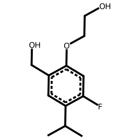 CC(C)c1cc(CO)c(OCCO)cc1F